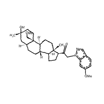 COC[C@]12CC[C@@](C)(O)C[C@@H]1CC[C@H]1[C@@H]3CC[C@H](C(=O)Cn4ncc5ccc(OC)cc54)[C@@]3(C)CC[C@@H]12